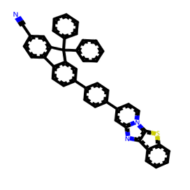 N#Cc1ccc2c(c1)C(c1ccccc1)(c1ccccc1)c1cc(-c3ccc(-c4ccn5c(c4)nc4c6ccccc6sc45)cc3)ccc1-2